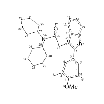 COc1c(C)cc(-c2nc3ccccc3n2CC(=O)N(C2CCCCC2)C2CCCCC2)cc1C